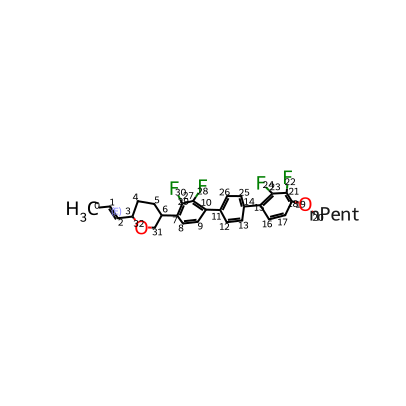 C/C=C/C1CCC(c2ccc(-c3ccc(-c4ccc(OCCCCC)c(F)c4F)cc3)c(F)c2F)CO1